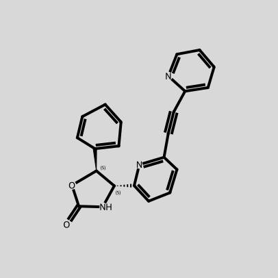 O=C1N[C@@H](c2cccc(C#Cc3ccccn3)n2)[C@H](c2ccccc2)O1